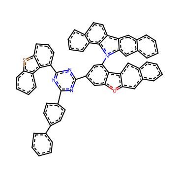 c1ccc(-c2ccc(-c3nc(-c4cc(-n5c6cc7ccccc7cc6c6ccc7ccccc7c65)c5c(c4)oc4cc6ccccc6cc45)nc(-c4cccc5sc6ccccc6c45)n3)cc2)cc1